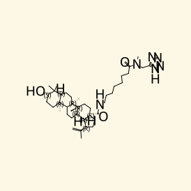 C=C(C)[C@@H]1CC[C@]2(C(=O)NCCCCCCCC(=O)N(C)Cc3nnn[nH]3)CC[C@]3(C)[C@H](CCC4[C@@]5(C)CC[C@H](O)C(C)(C)[C@@H]5CC[C@]43C)[C@@H]12